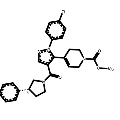 CC(C)(C)OC(=O)N1CC=C(c2c(C(=O)N3CC[C@H](c4ccccc4)C3)cnn2-c2ccc(Cl)cc2)CC1